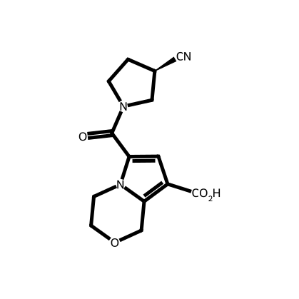 N#C[C@@H]1CCN(C(=O)c2cc(C(=O)O)c3n2CCOC3)C1